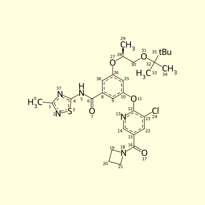 Cc1nsc(NC(=O)c2cc(Oc3ncc(C(=O)N4CCC4)cc3Cl)cc(O[C@@H](C)COC(C)(C)C(C)(C)C)c2)n1